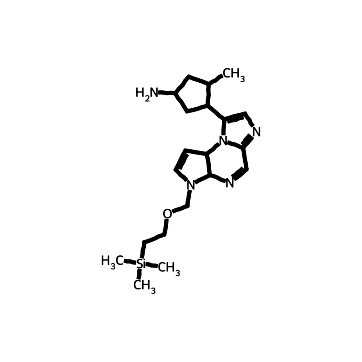 CC1CC(N)CC1c1cnc2n1C1C=CN(COCC[Si](C)(C)C)C1N=C2